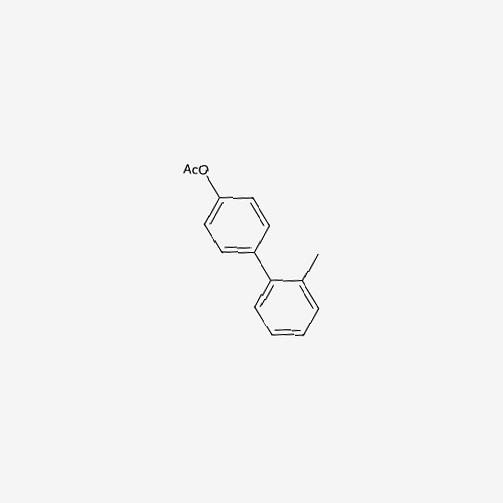 CC(=O)Oc1ccc(-c2ccccc2C)cc1